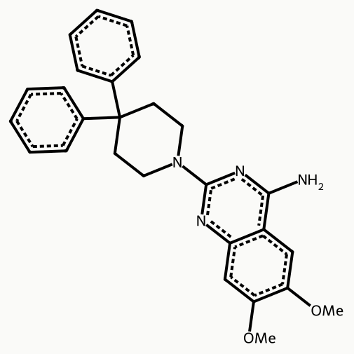 COc1cc2nc(N3CCC(c4ccccc4)(c4ccccc4)CC3)nc(N)c2cc1OC